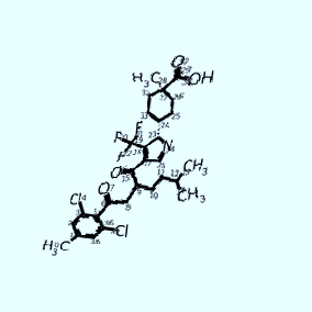 Cc1cc(Cl)c(C(=O)CC(CCC(C)C)C(=O)C2=C(C(F)(F)F)C([C@H]3CC[C@](C)(C(=O)O)CC3)N=C2)c(Cl)c1